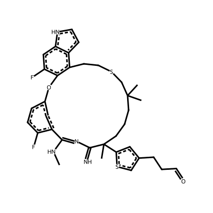 CN/C1=N\C(=N)C(C)(c2cc(CCC=O)cs2)CCCC(C)(C)CSCCc2c(c(F)cc3[nH]ccc23)Oc2ccc(F)c1c2